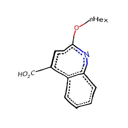 CCCCCCOc1cc(C(=O)O)c2ccccc2n1